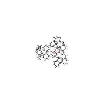 c1ccc(-c2ccccc2N(c2cccc(-c3cccc4c3-c3ccccc3C43c4ccccc4Oc4ccccc43)c2)c2ccccc2-c2ccc3c(c2)C2(c4ccccc4Oc4ccccc42)c2ccccc2-3)cc1